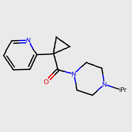 CC(C)N1CCN(C(=O)C2(c3ccccn3)CC2)CC1